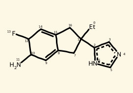 CCC1(c2cnc[nH]2)CC2=CC(N)C(F)C=C2C1